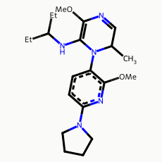 CCC(CC)NC1=C(OC)N=CC(C)N1c1ccc(N2CCCC2)nc1OC